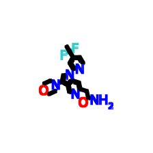 CC(F)(F)c1ccnc(-n2cc(N3CCOCC3)c3cnc(CC(N)=O)cc32)c1